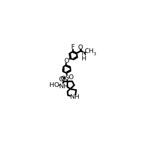 CNC(=O)c1ccc(Oc2ccc(S(=O)(=O)C3(C(=O)NO)CCC4(CCNCC4)C3)cc2)cc1F